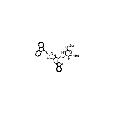 CCCCOC(=O)[C@@H](CCNC(=O)[C@@H](Cc1c[nH]c2ccccc12)NC(=O)OCC1c2ccccc2-c2ccccc21)NC(=O)OC(C)(C)C